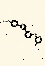 COc1ccc(-c2ncc(-c3cccc(Nc4cc(C)ccn4)n3)s2)cc1